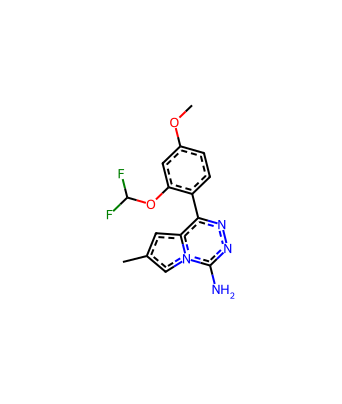 COc1ccc(-c2nnc(N)n3cc(C)cc23)c(OC(F)F)c1